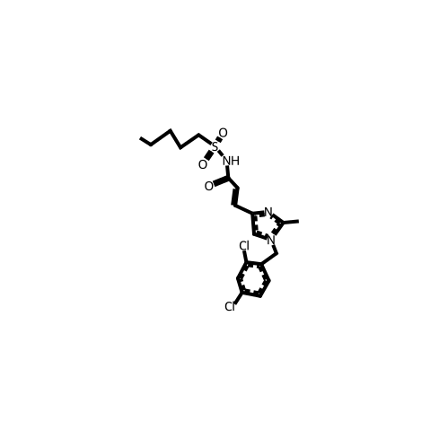 CCCCCS(=O)(=O)NC(=O)C=Cc1cn(Cc2ccc(Cl)cc2Cl)c(C)n1